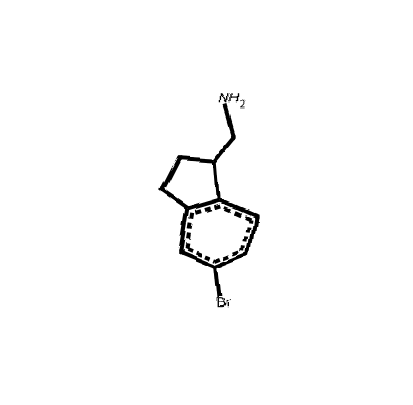 NCC1CCc2cc(Br)ccc21